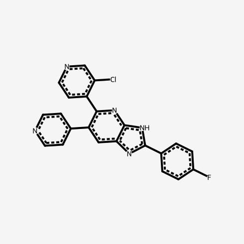 Fc1ccc(-c2nc3cc(-c4ccncc4)c(-c4ccncc4Cl)nc3[nH]2)cc1